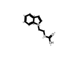 O=C(O)OCCn1ccc2ccccc21